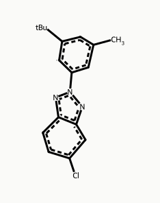 Cc1cc(-n2nc3ccc(Cl)cc3n2)[c]c(C(C)(C)C)c1